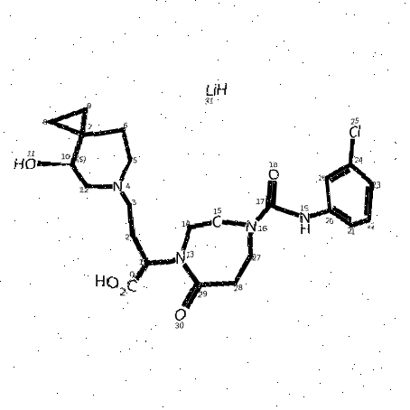 O=C(O)C(CCN1CCC2(CC2)[C@H](O)C1)N1CCN(C(=O)Nc2cccc(Cl)c2)CCC1=O.[LiH]